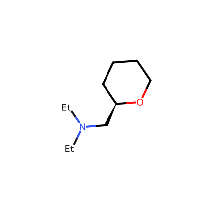 CCN(CC)C[C@H]1CCCCO1